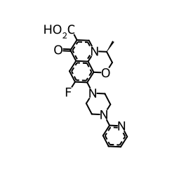 C[C@H]1COc2c(N3CCN(c4ccccn4)CC3)c(F)cc3c(=O)c(C(=O)O)cn1c23